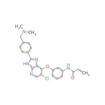 C=CC(=O)Nc1cccc(Oc2c(Cl)cnc3[nH]c(-c4ccc(CN(C)C)cc4)nc23)c1